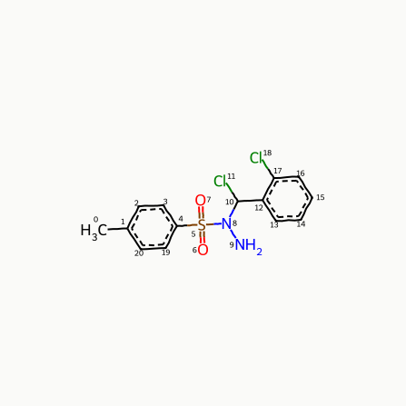 Cc1ccc(S(=O)(=O)N(N)C(Cl)c2ccccc2Cl)cc1